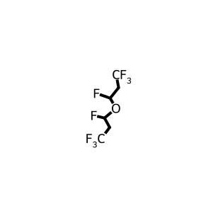 FC(CC(F)(F)F)OC(F)CC(F)(F)F